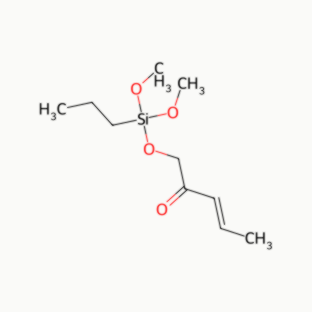 CC=CC(=O)CO[Si](CCC)(OC)OC